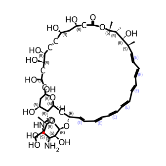 C[C@@H]1[C@H](O)[C@@H](C)/C=C/C=C/C=C/C=C/C=C/C=C/C=C/[C@H](O[C@@H]2O[C@H](C)[C@@H](O)[C@H](N)[C@@H]2O)C[C@@H]2O[C@](O)(C[C@@H](O)C[C@@H](O)[C@H](O)CC[C@@H](O)C[C@@H](O)CC(=O)O[C@H]1C)C[C@H](O)[C@H]2C(=O)NCCO